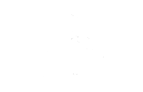 COCCOCN(C(=O)OC(C)(C)C)C1=N[C@](C)(c2cc([N+](=O)[O-])ccc2OCCOS(=O)(=O)c2ccc(C(F)(F)F)cc2)CS(=O)(=O)N1C